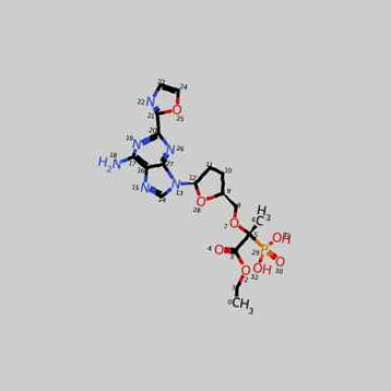 CCOC(=O)[C@](C)(OC[C@@H]1CC[C@H](n2cnc3c(N)nc(-c4ncco4)nc32)O1)P(=O)(O)O